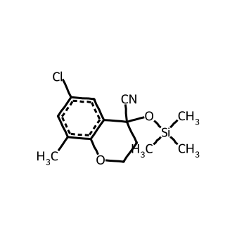 Cc1cc(Cl)cc2c1OCCC2(C#N)O[Si](C)(C)C